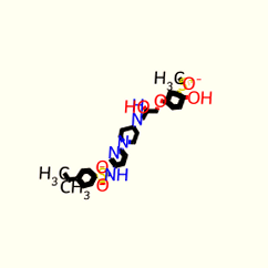 CC(C)c1ccc(S(=O)(=O)Nc2ccc(N3CCC(NCC(O)COc4ccc(O)c([S+](C)[O-])c4)CC3)nc2)cc1